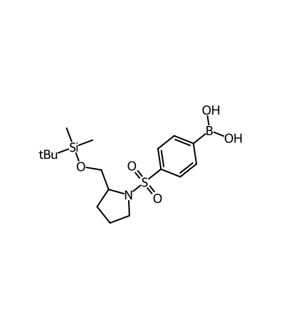 CC(C)(C)[Si](C)(C)OCC1CCCN1S(=O)(=O)c1ccc(B(O)O)cc1